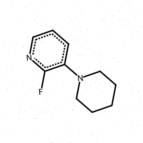 Fc1ncccc1N1CCCCC1